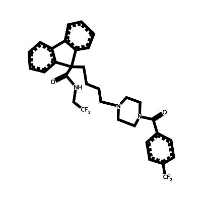 O=C(c1ccc(C(F)(F)F)cc1)N1CCN(CCCCC2(C(=O)NCC(F)(F)F)c3ccccc3-c3ccccc32)CC1